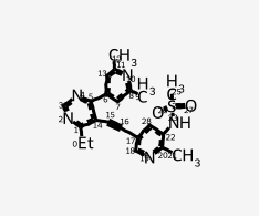 CCc1ncnc(-c2cc(C)nc(C)c2)c1C#Cc1cnc(C)c(NS(C)(=O)=O)c1